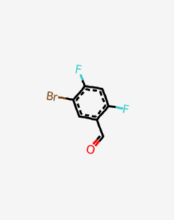 O=Cc1cc(Br)c(F)cc1F